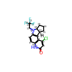 O=c1cc(Cl)c2c3c(ccc2[nH]1)N(CC(F)(F)F)C1CCC[C@@H]31